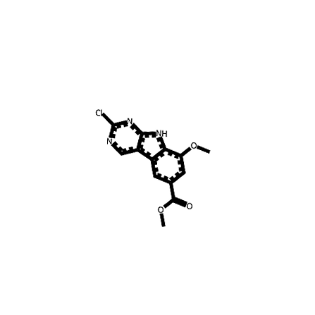 COC(=O)c1cc(OC)c2[nH]c3nc(Cl)ncc3c2c1